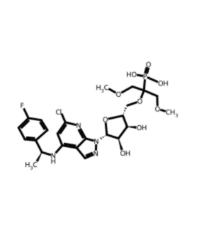 COCC(COC)(OC[C@H]1O[C@@H](n2ncc3c(N[C@@H](C)c4ccc(F)cc4)cc(Cl)nc32)[C@H](O)[C@@H]1O)P(=O)(O)O